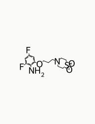 Nc1c(F)cc(F)cc1OCCCN1CCS(=O)(=O)CC1